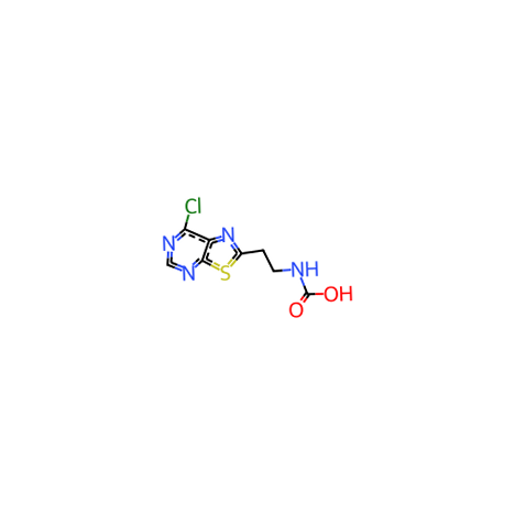 O=C(O)NCCc1nc2c(Cl)ncnc2s1